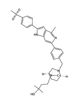 Cc1nc(-c2ccc(CN3C[C@@H]4CC[C@H]3CN4CCC(C)(C)O)cc2)cc2[nH]c(-c3ccc(S(C)(=O)=O)cc3)cc12